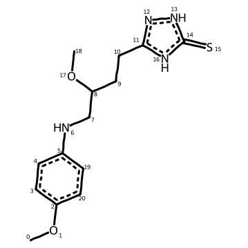 COc1ccc(NCC(CCc2n[nH]c(=S)[nH]2)OC)cc1